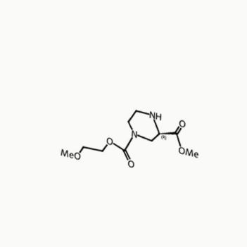 COCCOC(=O)N1CCN[C@@H](C(=O)OC)C1